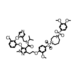 COc1ccc(S(=O)(=O)N2CCCN(S(=O)(=O)c3ccc(OCCc4nn(C)c(Oc5cccc(Cl)c5Cl)c4C(=O)N(Cc4cncs4)C(C)C)c(OC)c3)CC2)cc1OC